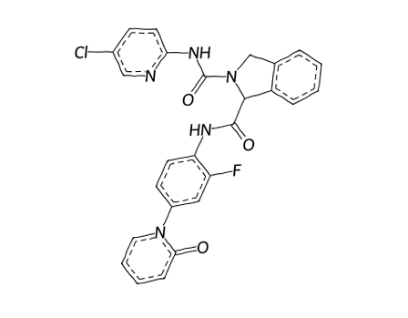 O=C(Nc1ccc(-n2ccccc2=O)cc1F)C1c2ccccc2CN1C(=O)Nc1ccc(Cl)cn1